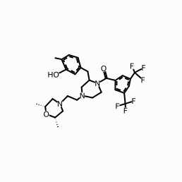 Cc1ccc(CC2CN(CCN3C[C@@H](C)O[C@@H](C)C3)CCN2C(=O)c2cc(C(F)(F)F)cc(C(F)(F)F)c2)cc1O